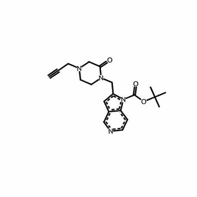 C#CCN1CCN(Cc2cc3cnccc3n2C(=O)OC(C)(C)C)C(=O)C1